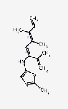 C=C/C(C)=C(C)/C=C(/Nc1cnc(C)s1)C(=C)C